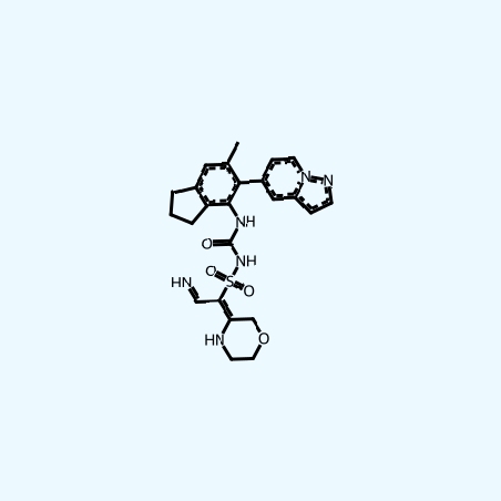 Cc1cc2c(c(NC(=O)NS(=O)(=O)/C(C=N)=C3\COCCN3)c1-c1ccn3nccc3c1)CCC2